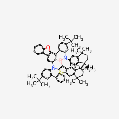 CC(C)(C)c1ccc(N2c3cc4c(oc5ccccc54)c4c3B(c3c2sc2cc5c(cc32)C(C)(C)CCC5(C)C)N(c2ccc3c(c2)C(C)(C)CCC3(C)C)c2cc(C(C)(C)C)ccc2-4)c(-c2ccccc2)c1